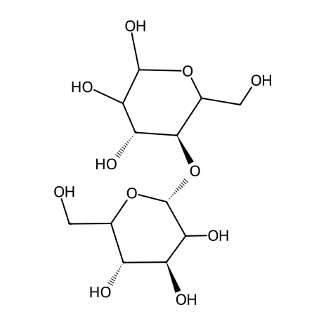 OCC1O[C@H](O[C@@H]2C(CO)OC(O)C(O)[C@H]2O)C(O)[C@@H](O)[C@@H]1O